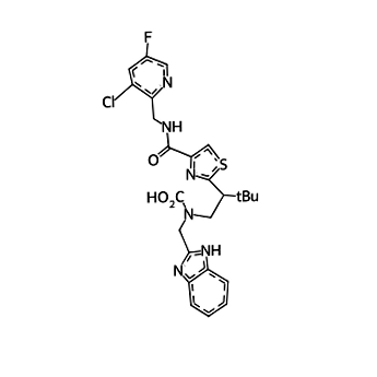 CC(C)(C)C(CN(Cc1nc2ccccc2[nH]1)C(=O)O)c1nc(C(=O)NCc2ncc(F)cc2Cl)cs1